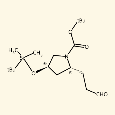 CC(C)(C)OC(=O)N1C[C@H](O[Si](C)(C)C(C)(C)C)C[C@H]1CCC=O